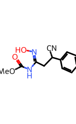 COC(=O)NC(CC(C#N)c1ccccc1)=NO